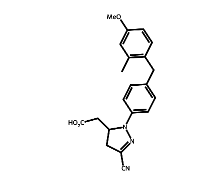 COc1ccc(Cc2ccc(N3N=C(C#N)CC3CC(=O)O)cc2)c(C)c1